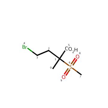 CC(CCBr)(C(=O)O)S(C)(=O)=O